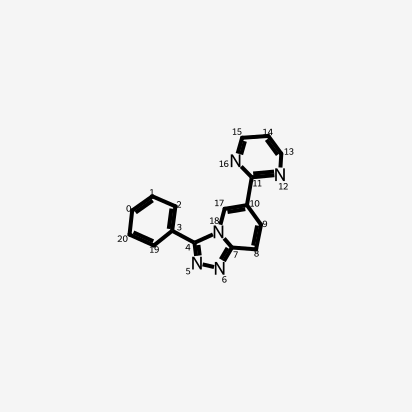 c1ccc(-c2nnc3ccc(-c4ncccn4)cn23)cc1